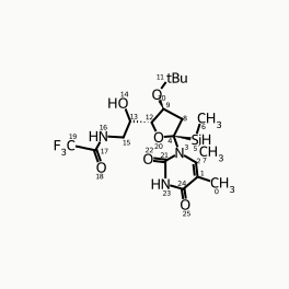 Cc1cn([C@@]2([SiH](C)C)C[C@H](OC(C)(C)C)[C@@H](C(O)CNC(=O)C(F)(F)F)O2)c(=O)[nH]c1=O